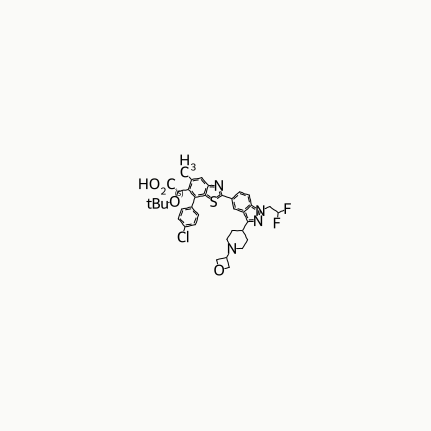 Cc1cc2nc(-c3ccc4c(c3)c(C3CCN(C5COC5)CC3)nn4CC(F)F)sc2c(-c2ccc(Cl)cc2)c1[C@H](OC(C)(C)C)C(=O)O